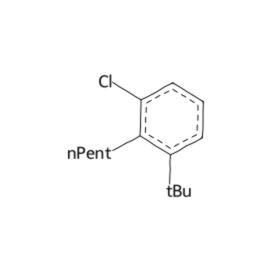 C[CH]CCCc1c(Cl)cccc1C(C)(C)C